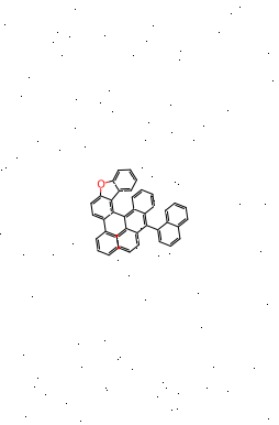 c1ccc(-c2ccc3oc4ccccc4c3c2-c2c3ccccc3c(-c3cccc4ccccc34)c3ccccc23)cc1